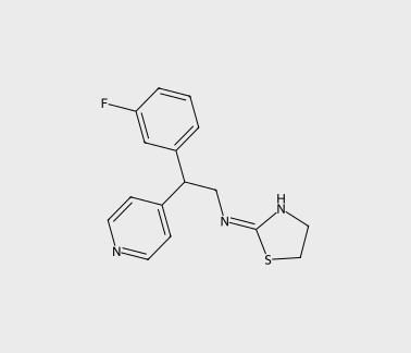 Fc1cccc(C(CN=C2NCCS2)c2ccncc2)c1